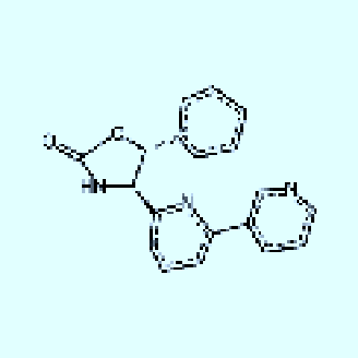 O=C1N[C@H](c2cccc(-c3cccnc3)n2)[C@@H](c2ccccc2)O1